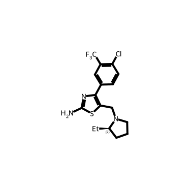 CC[C@@H]1CCCN1Cc1sc(N)nc1-c1ccc(Cl)c(C(F)(F)F)c1